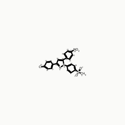 CS(=O)(=O)c1ccc(-n2nc(-c3ccc(Cl)cc3)cc2-c2ccc([N+](=O)[O-])cc2)cc1